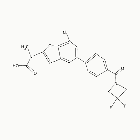 CN(C(=O)O)c1cc2cc(-c3ccc(C(=O)N4CC(F)(F)C4)cc3)cc(Cl)c2o1